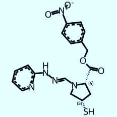 O=C(OCc1ccc([N+](=O)[O-])cc1)[C@@H]1C[C@H](S)CN1C=NNc1ccccn1